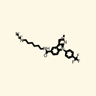 Cn1cc2c3cc(C(=O)NCCCCCCN=[N+]=[N-])ccc3n(-c3ccc(C(F)(F)F)cc3)c2n1